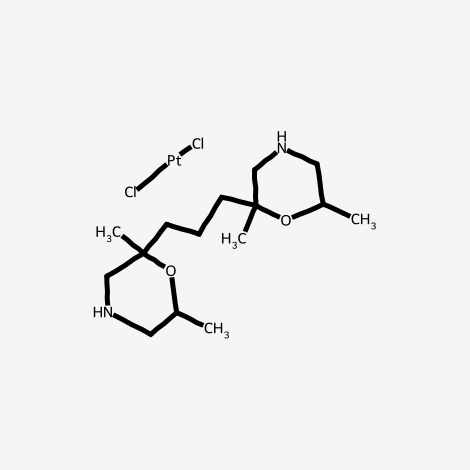 CC1CNCC(C)(CCCC2(C)CNCC(C)O2)O1.[Cl][Pt][Cl]